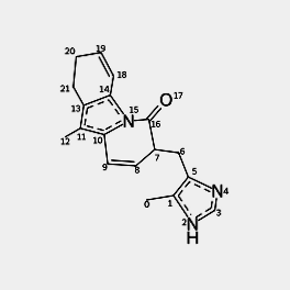 Cc1[nH]cnc1CC1C=Cc2c(C)c3c(n2C1=O)C=CCC3